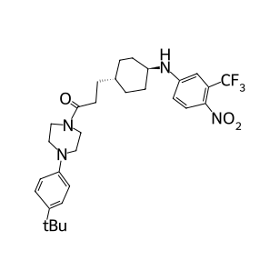 CC(C)(C)c1ccc(N2CCN(C(=O)CC[C@H]3CC[C@H](Nc4ccc([N+](=O)[O-])c(C(F)(F)F)c4)CC3)CC2)cc1